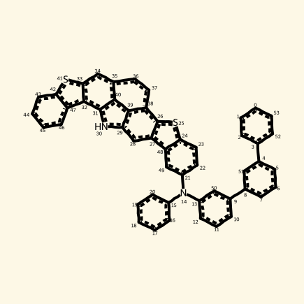 c1ccc(-c2cccc(-c3cccc(N(c4ccccc4)c4ccc5sc6c(cc7[nH]c8c9c(cc%10ccc6c7c%108)sc6ccccc69)c5c4)c3)c2)cc1